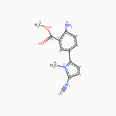 [C-]#[N+]c1ccc(-c2ccc(N)c(C(=O)OC)c2)n1C